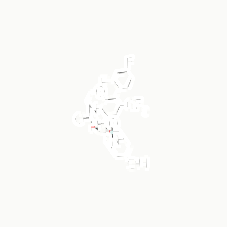 C=CC(=O)N1C2CC(O)CC1CN(c1nc(=O)n3c4c(c(-c5ccc(F)cc5F)c(C(F)(F)F)cc14)OCC3)C2